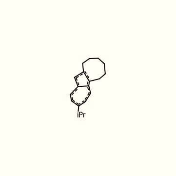 CC(C)c1ccc2cc3c(c-2cc1)CCCCCC3